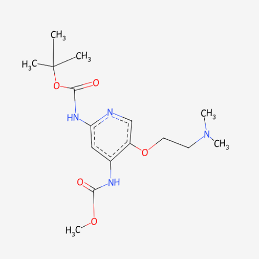 COC(=O)Nc1cc(NC(=O)OC(C)(C)C)ncc1OCCN(C)C